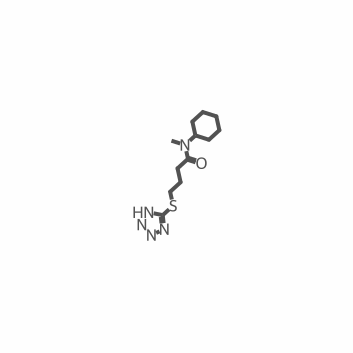 CN(C(=O)CCCSc1nnn[nH]1)C1CCCCC1